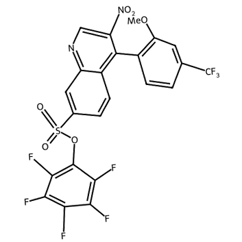 COc1cc(C(F)(F)F)ccc1-c1c([N+](=O)[O-])cnc2cc(S(=O)(=O)Oc3c(F)c(F)c(F)c(F)c3F)ccc12